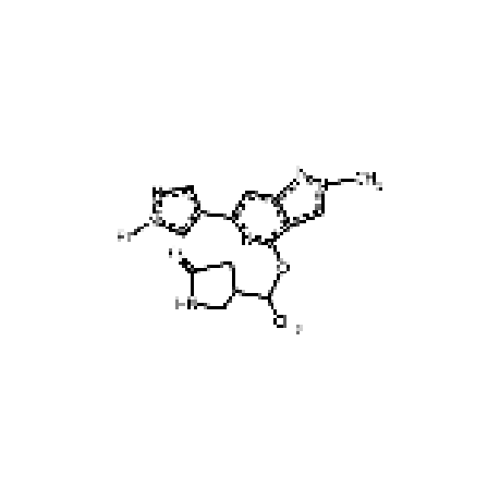 CCn1cc(-c2cc3nn(C)cc3c(OC(C)C3CNC(=O)C3)n2)cn1